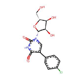 O=c1[nH]c(=O)n([C@@H]2O[C@H](CO)[C@@H](O)[C@H]2O)cc1-c1ccc(Cl)cc1